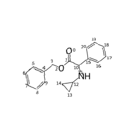 O=C(OCc1ccccc1)C(NC1CC1)c1ccccc1